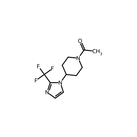 CC(=O)N1CCC(n2ccnc2C(F)(F)F)CC1